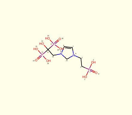 O=P(O)(O)CCN1C=CN(CC(O)(P(=O)(O)O)P(=O)(O)O)C1